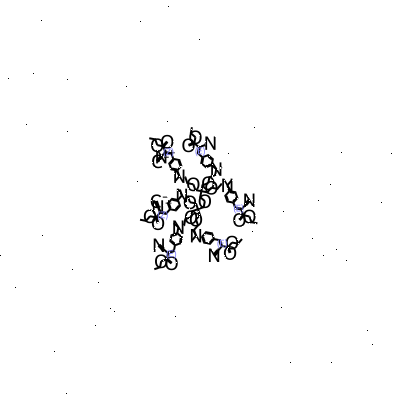 [C-]#[N+]/C(=C\c1ccc(N(C)CCOCC(COCCN(C)c2ccc(/C=C(\C#N)C(=O)OCC)cc2)(COCCN(C)c2ccc(/C=C(\C#N)C(=O)OCC)cc2)COCC(COCCN(C)c2ccc(/C=C(\C#N)C(=O)OCC)cc2)(COCCN(C)c2ccc(/C=C(\C#N)C(=O)OCC)cc2)COCN(C)c2ccc(/C=C(\[N+]#[C-])C(=O)OCC)cc2)cc1)C(=O)OCC